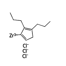 CCCC1=C(CCC)[C]([Zr+3])=CC1.[Cl-].[Cl-].[Cl-]